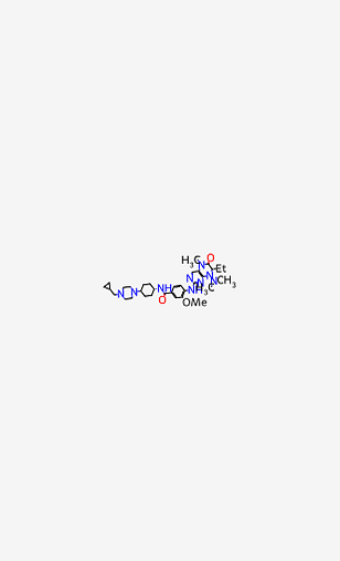 CC[C@@H]1C(=O)N(C)c2cnc(Nc3ccc(C(=O)N[C@H]4CC[C@H](N5CCN(CC6CC6)CC5)CC4)cc3OC)nc2N1N(C)C